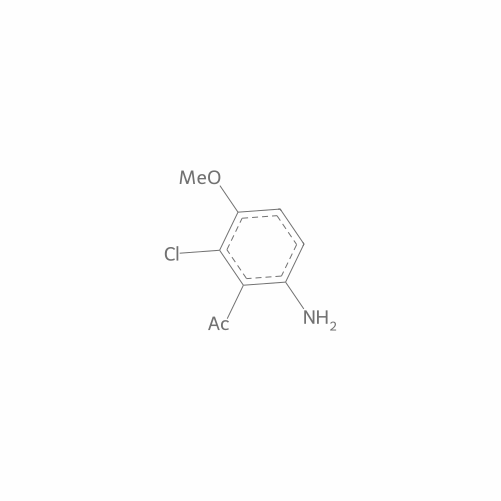 COc1ccc(N)c(C(C)=O)c1Cl